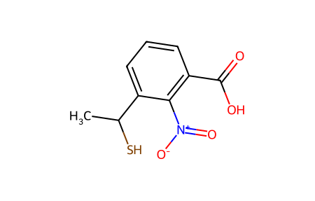 CC(S)c1cccc(C(=O)O)c1[N+](=O)[O-]